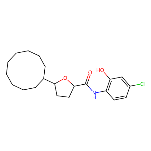 O=C(Nc1ccc(Cl)cc1O)C1CCC(C2CCCCCCCCC2)O1